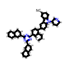 N#Cc1ccc2c(c1)c1cc(-c3ccc(-c4nc(-c5ccc6ccccc6c5)nc(-c5ccc6ccccc6c5)n4)c4ccccc34)ccc1n2-c1cccnc1